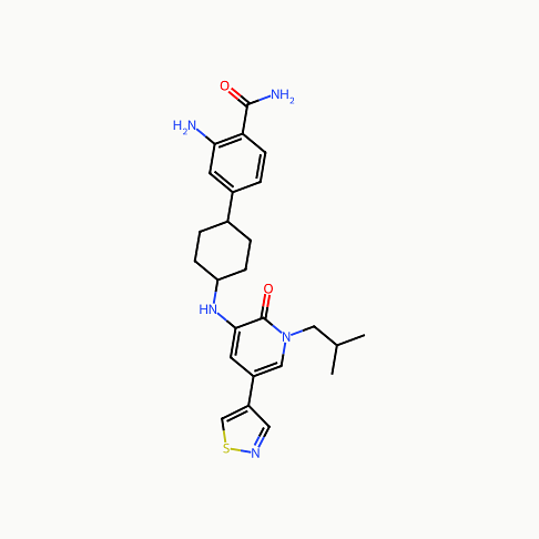 CC(C)Cn1cc(-c2cnsc2)cc(NC2CCC(c3ccc(C(N)=O)c(N)c3)CC2)c1=O